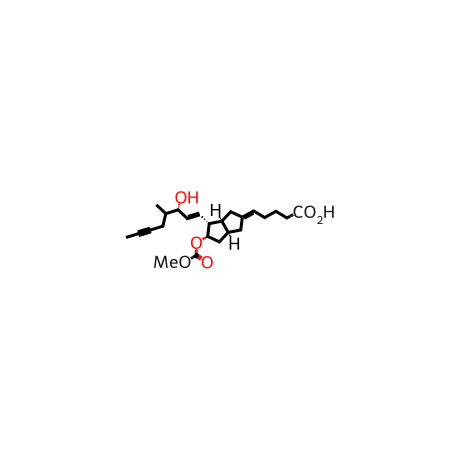 CC#CCC(C)[C@H](O)/C=C/[C@@H]1[C@H]2C/C(=C/CCCC(=O)O)C[C@H]2C[C@H]1OC(=O)OC